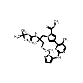 COCC(C)(Cn1cc(-c2nc(Nc3ccnn3C)ncc2C)cc1C(=O)OC)NC(=O)OC(C)(C)C